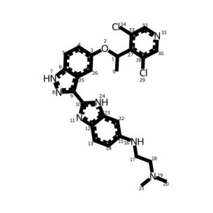 CC(Oc1ccc2[nH]nc(-c3nc4ccc(NCCN(C)C)cc4[nH]3)c2c1)c1c(Cl)cncc1Cl